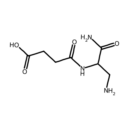 NCC(NC(=O)CCC(=O)O)C(N)=O